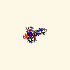 CC(C)OC[C@@H](CS(=O)(=O)Cc1cnc2ccccc2c1)N(O)[C@@H](OC(C)C)C(CS(=O)(=O)Cc1cnc2ccccc2c1)NCC#N